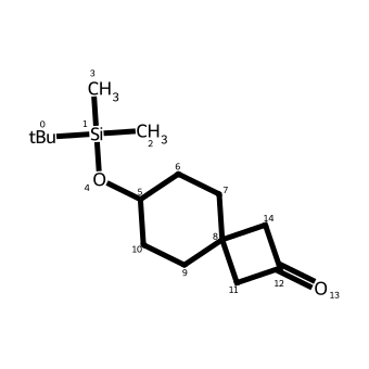 CC(C)(C)[Si](C)(C)OC1CCC2(CC1)CC(=O)C2